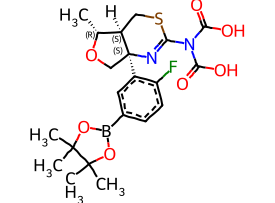 C[C@H]1OC[C@]2(c3cc(B4OC(C)(C)C(C)(C)O4)ccc3F)N=C(N(C(=O)O)C(=O)O)SC[C@H]12